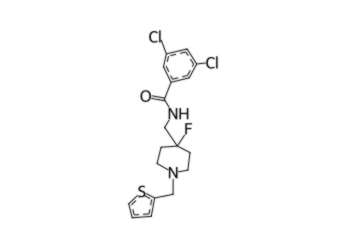 O=C(NCC1(F)CCN(Cc2cccs2)CC1)c1cc(Cl)cc(Cl)c1